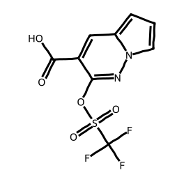 O=C(O)c1cc2cccn2nc1OS(=O)(=O)C(F)(F)F